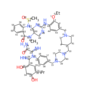 CCOc1cc(CN2CCC(CN3CCN(Cc4ccc(N(C(=N)C(N)=O)C(=N)c5cc(C(C)C)c(O)cc5O)cc4)CC3)CC2)ccc1Nc1ncc2c(n1)N([S+](C)[O-])c1ccccc1C(=O)N2C